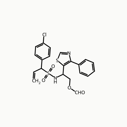 C=CC(c1ccc(Cl)cc1)S(=O)(=O)NC(COC=O)c1scnc1-c1ccccc1